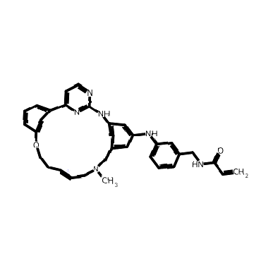 C=CC(=O)NCc1cccc(Nc2cc3cc(c2)Nc2nccc(n2)-c2cccc(c2)OCC/C=C/CN(C)C3)c1